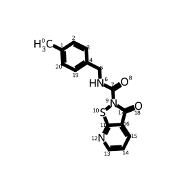 Cc1ccc(CNC(=O)n2sc3ncccc3c2=O)cc1